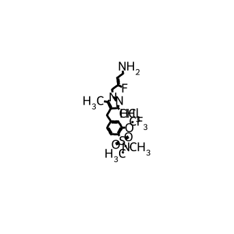 Cc1nn(CC(F)=CCN)c(C)c1Cc1ccc(S(=O)(=O)N(C)C)c(OC(F)(F)F)c1.Cl